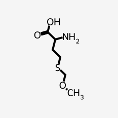 COCSCCC(N)C(=O)O